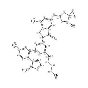 Cn1cnnc1-c1ccc(C(F)(F)F)cc1-c1cc(NCCCC#N)nc(N2Cc3c(cc(CN4C[C@@H](O)C5(CC5)C4)cc3C(F)(F)F)C2=O)c1